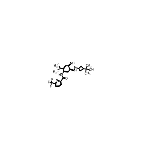 CN(C)C1=CC(=N)/C(=C\NC2CC(C(C)(C)O)C2)C=C1NC(=O)c1cccc(C(F)(F)F)n1